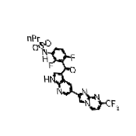 CCCS(=O)(=O)Nc1ccc(F)c(C(=O)c2c[nH]c3ncc(-c4cn5ccc(C(F)(F)F)nc5n4)cc23)c1F